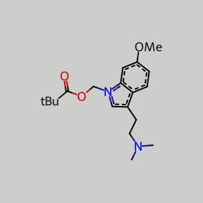 COc1ccc2c(CCN(C)C)cn(COC(=O)C(C)(C)C)c2c1